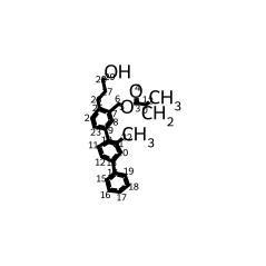 C=C(C)C(=O)OCc1cc(-c2ccc(-c3ccccc3)cc2C)ccc1CCCO